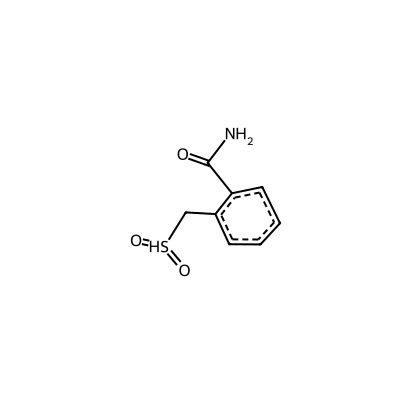 NC(=O)c1ccccc1C[SH](=O)=O